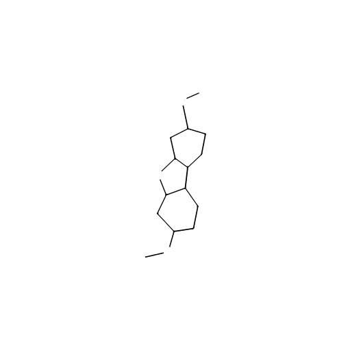 COC1CCC2C(C1)SC1CC(OC)CCC12